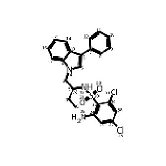 CC[C@@H](Cn1cc(-c2ccccc2)c2ccccc21)NS(=O)(=O)c1c(N)cc(Cl)cc1Cl